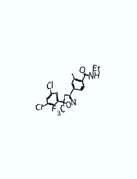 CCNC(=O)c1ccc(C2=NOC(c3cc(Cl)cc(Cl)c3)(C(F)(F)F)C2)cc1C